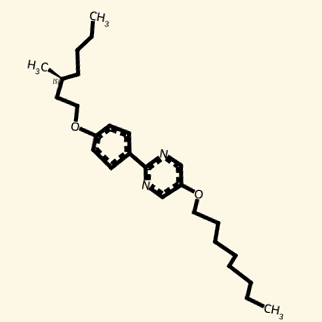 CCCCCCCCOc1cnc(-c2ccc(OCC[C@@H](C)CCCC)cc2)nc1